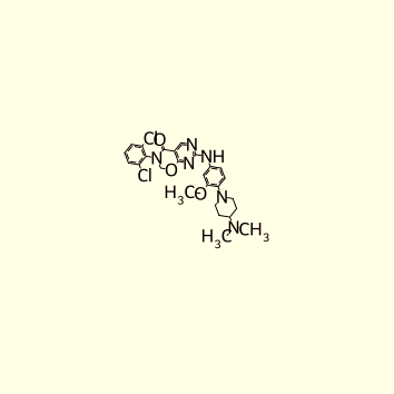 COc1cc(Nc2ncc3c(n2)OCN(c2c(Cl)cccc2Cl)C3=O)ccc1N1CCC(N(C)C)CC1